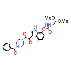 COC(CNC(=O)Oc1ccc(F)c2c(C(=O)C(=O)N3CCN(C(=O)c4ccccc4)CC3)c[nH]c12)OC